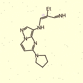 CC/C(C=N)=C/Nc1cnn2ccc(N3CCCC3)nc12